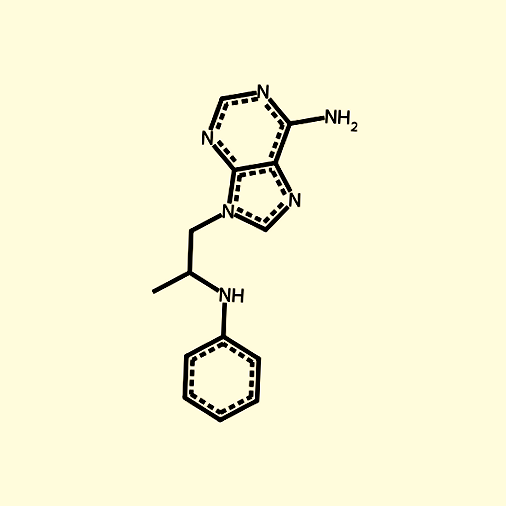 CC(Cn1cnc2c(N)ncnc21)Nc1ccccc1